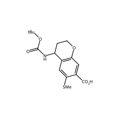 CSc1cc2c(cc1C(=O)O)OCCC2NC(=O)OC(C)(C)C